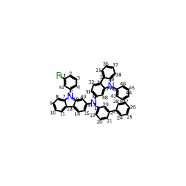 Fc1cccc(-n2c3ccccc3c3ccc(N(c4cccc(-c5ccccc5)c4)c4ccc5c6ccccc6n(-c6ccccc6)c5c4)cc32)c1